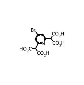 O=C(O)C(C(=O)O)c1cc(Br)cc(C(C(=O)O)C(=O)O)n1